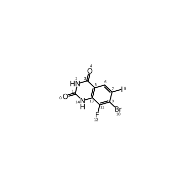 O=c1[nH]c(=O)c2cc(I)c(Br)c(F)c2[nH]1